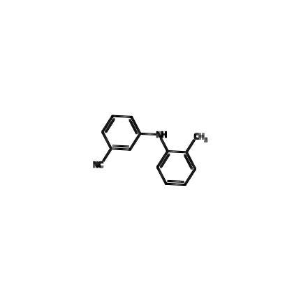 Cc1ccccc1Nc1cccc(C#N)c1